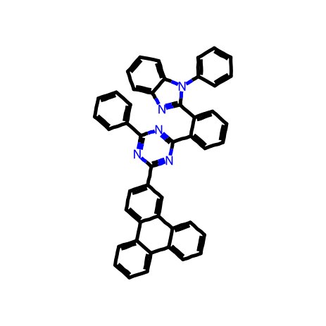 c1ccc(-c2nc(-c3ccc4c5ccccc5c5ccccc5c4c3)nc(-c3ccccc3-c3nc4ccccc4n3-c3ccccc3)n2)cc1